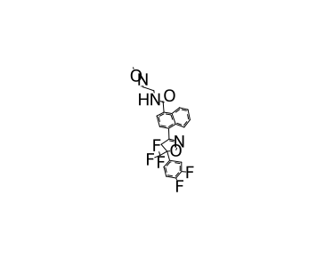 CON=CCNC(=O)c1ccc(C2=NOC(c3ccc(F)c(F)c3)(C(F)(F)F)C2)c2ccccc12